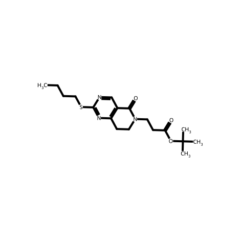 CCCCSc1ncc2c(n1)CCN(CCC(=O)OC(C)(C)C)C2=O